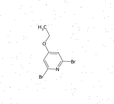 CCOc1cc(Br)nc(Br)c1